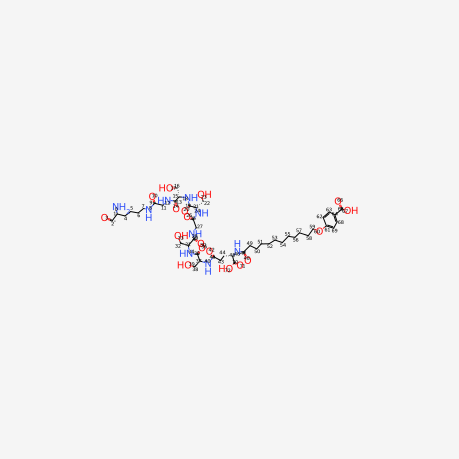 N[C@H]([C]=O)CCCCNC(=O)CNC(=O)[C@H](CO)NC(=O)[C@H](CO)NC(=O)CNC(=O)[C@H](CO)NC(=O)[C@H](CO)NC(=O)CC[C@H](NC(=O)CCCCCCCCCCCOc1ccc(C(=O)O)cc1)C(=O)O